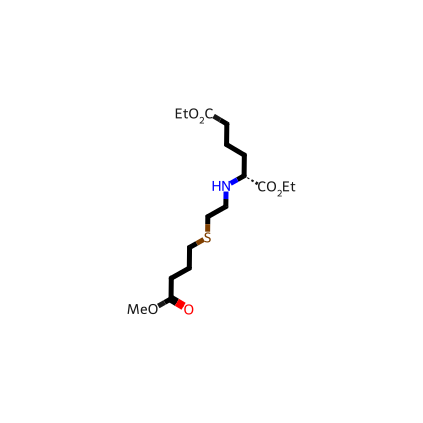 CCOC(=O)CCC[C@@H](NCCSCCCC(=O)OC)C(=O)OCC